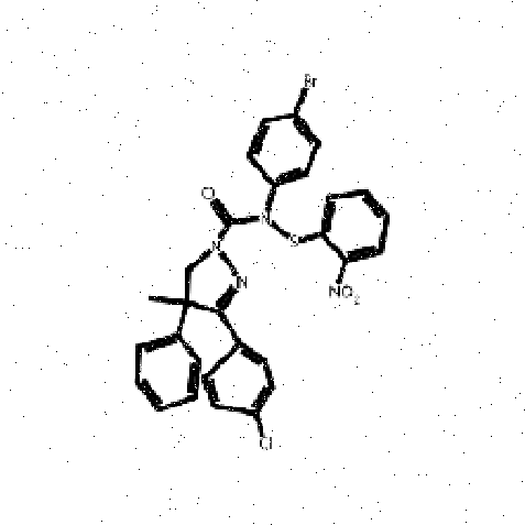 CC1(c2ccccc2)CN(C(=O)N(Sc2ccccc2[N+](=O)[O-])c2ccc(Br)cc2)N=C1c1ccc(Cl)cc1